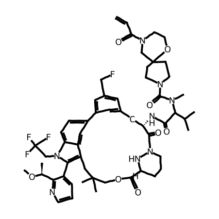 C=CC(=O)N1CCOC2(CCN(C(=O)N(C)C(C(=O)N[C@H]3Cc4cc(CF)cc(c4)-c4ccc5c(c4)c(c(-c4cccnc4[C@H](C)OC)n5CC(F)(F)F)CC(C)(C)COC(=O)[C@@H]4CCCN(N4)C3=O)C(C)C)CC2)C1